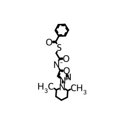 CC1CCCC(C)N1[n+]1cc([N-]C(=O)CSC(=O)c2ccccc2)on1